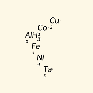 [AlH3].[Co].[Cu].[Fe].[Ni].[Ta]